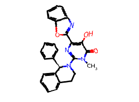 Cn1c(N2CCc3ccccc3[C@H]2c2ccccc2)nc(-c2nc3ccccc3o2)c(O)c1=O